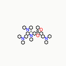 c1ccc(N(c2ccccc2)c2ccc3c4c5c(cc3c2)Oc2ccccc2B5c2cc3c(cc2O4)N(c2ccccc2)c2c4c(cc5cc(N(c6ccccc6)c6ccccc6)ccc25)N(c2ccccc2)c2ccccc2C34)cc1